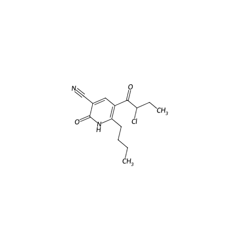 CCCCc1[nH]c(=O)c(C#N)cc1C(=O)C(Cl)CC